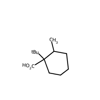 CC1CCCCC1(C(=O)O)C(C)(C)C